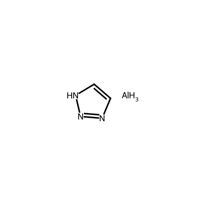 [AlH3].c1c[nH]nn1